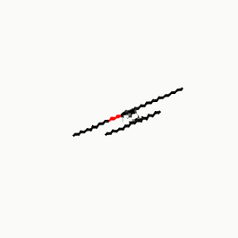 CCCCCCCCCCCC(O)CCCCCCCC.CCCCCCCCCCCCCCCCCCOOC(=O)CCCCCCCCCCCCCCCCC